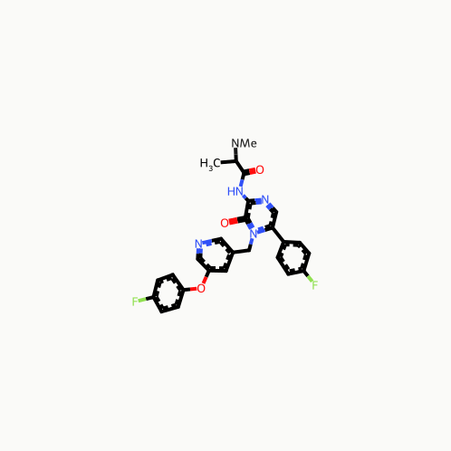 CNC(C)C(=O)Nc1ncc(-c2ccc(F)cc2)n(Cc2cncc(Oc3ccc(F)cc3)c2)c1=O